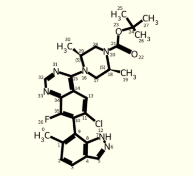 Cc1ccc2cn[nH]c2c1-c1c(Cl)cc2c(N3C[C@H](C)N(C(=O)OC(C)(C)C)C[C@@H]3C)ncnc2c1F